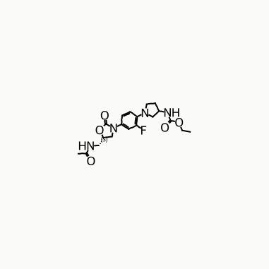 CCOC(=O)NC1CCN(c2ccc(N3C[C@H](CNC(C)=O)OC3=O)cc2F)C1